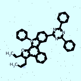 C=Cc1oc2c(c1/C=C\C)c1ccccc1c1c3cc(-c4nc(-c5ccccc5)nc(-c5ccccc5)n4)ccc3n(-c3ccccc3)c21